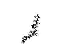 O=C(CN1CCOCC1)Nc1cccc([C@@H]2C[C@@]2(NS(=O)(=O)c2ccc(-c3cc(C(F)(F)F)on3)s2)C(=O)O)c1